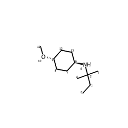 CCC(C)(C)N[C@H]1CC[C@H](OC)CC1